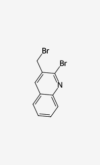 BrCc1cc2ccccc2nc1Br